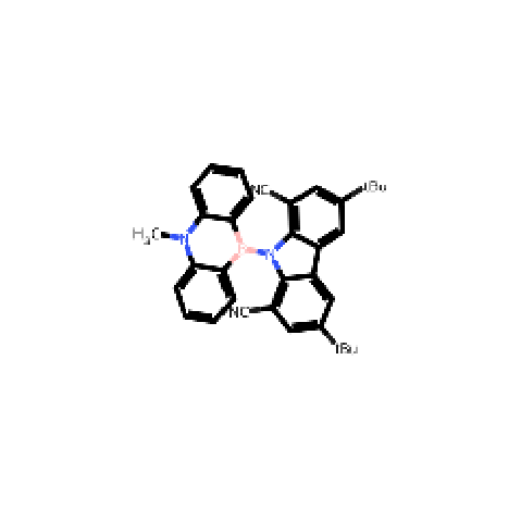 CN1c2ccccc2B(n2c3c(C#N)cc(C(C)(C)C)cc3c3cc(C(C)(C)C)cc(C#N)c32)c2ccccc21